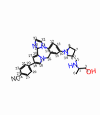 CC(CO)NC[C@H]1CCN(c2ccc3c(c2)Cn2cc(-c4ccc(C#N)cc4)cc2-c2nccn2-3)C1